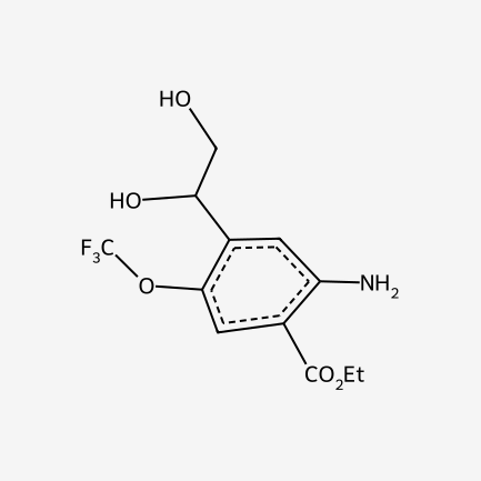 CCOC(=O)c1cc(OC(F)(F)F)c(C(O)CO)cc1N